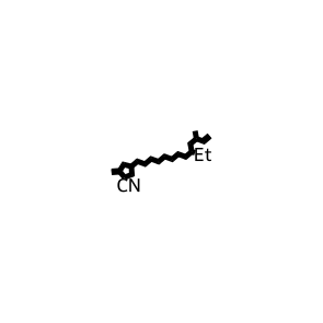 C=CC(C)CC(CC)CCCCCCCCC1CC(=C)C(C#N)C1